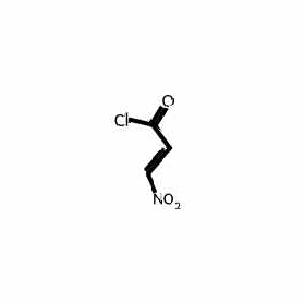 O=C(Cl)C=C[N+](=O)[O-]